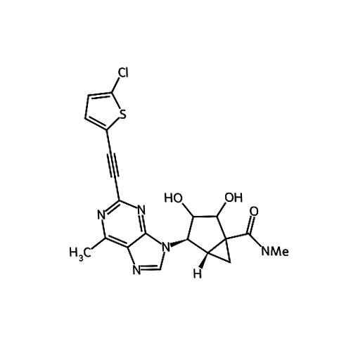 CNC(=O)C12C[C@@H]1[C@@H](n1cnc3c(C)nc(C#Cc4ccc(Cl)s4)nc31)C(O)C2O